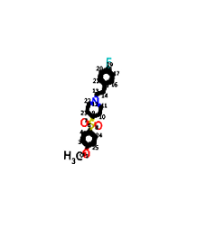 COc1ccc(S(=O)(=O)C2CCN(CCc3ccc(F)cc3)CC2)cc1